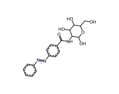 O=C(NC1C(O)OC(CO)C(O)C1O)c1ccc(/N=N/c2ccccc2)cc1